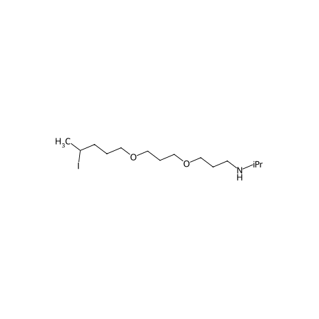 CC(I)CCCOCCCOCCCNC(C)C